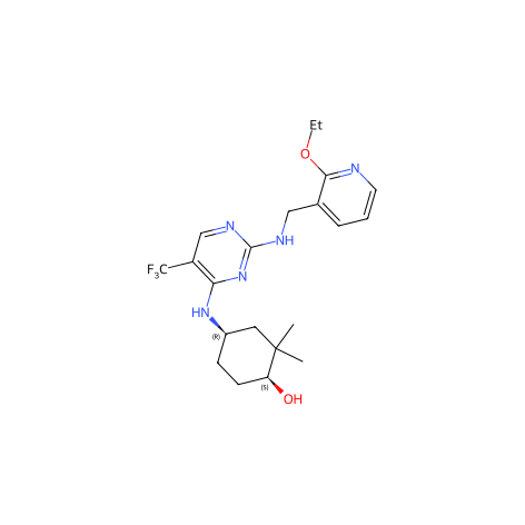 CCOc1ncccc1CNc1ncc(C(F)(F)F)c(N[C@@H]2CC[C@H](O)C(C)(C)C2)n1